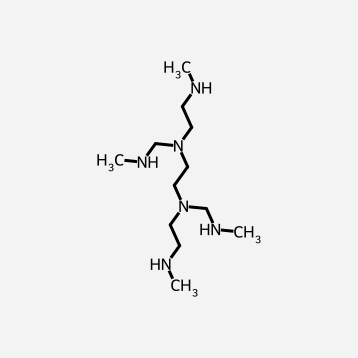 CNCCN(CCN(CCNC)CNC)CNC